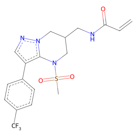 C=CC(=O)NCC1CN(S(C)(=O)=O)c2c(-c3ccc(C(F)(F)F)cc3)cnn2C1